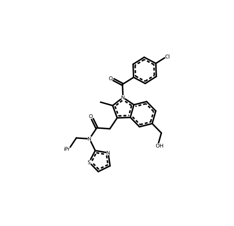 Cc1c(CC(=O)N(CC(C)C)c2nccs2)c2cc(CO)ccc2n1C(=O)c1ccc(Cl)cc1